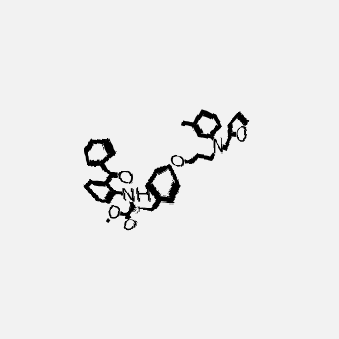 COC(=O)[C@H](Cc1ccc(OCCCN(Cc2ccco2)c2cccc(C)c2)cc1)Nc1ccccc1C(=O)c1ccccc1